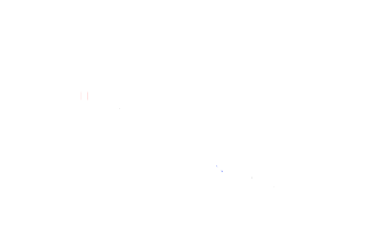 O=C(O)NC1CCCCc2c1ccc(O)c2F